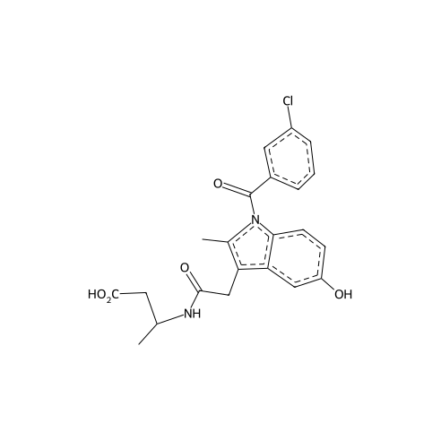 Cc1c(CC(=O)NC(C)CC(=O)O)c2cc(O)ccc2n1C(=O)c1cccc(Cl)c1